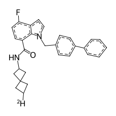 [2H]C1CC2(C1)CC(NC(=O)c1ccc(F)c3ccn(Cc4ccc(-c5ccccc5)cc4)c13)C2